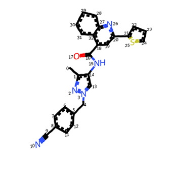 Cc1nn(Cc2ccc(C#N)cc2)cc1NC(=O)c1cc(-c2cccs2)nc2ccccc12